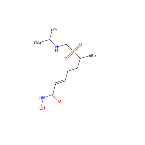 CCCCC(CCC)NCS(=O)(=O)C(CC/C=C/C(=O)NO)CCCC